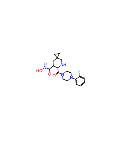 O=C(NO)C1CC2(CC2)CNC1C(=O)N1CCN(c2ccccc2F)CC1